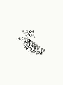 C[C@H](CCC(C)(C)O)[C@H]1CC[C@H]2[C@@H]3CC=C4C[C@](O)(C(F)(F)F)CC[C@]4(C)[C@H]3CC[C@]12C